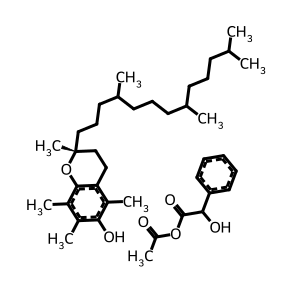 CC(=O)OC(=O)C(O)c1ccccc1.Cc1c(C)c2c(c(C)c1O)CC[C@@](C)(CCCC(C)CCCC(C)CCCC(C)C)O2